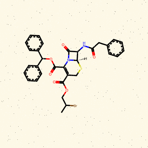 CC(Br)COC(=O)C1=C(C(=O)OC(c2ccccc2)c2ccccc2)N2C(=O)C(NC(=O)Cc3ccccc3)[C@H]2SC1